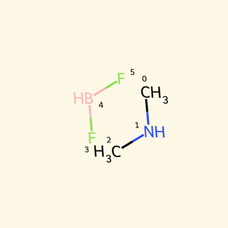 CNC.FBF